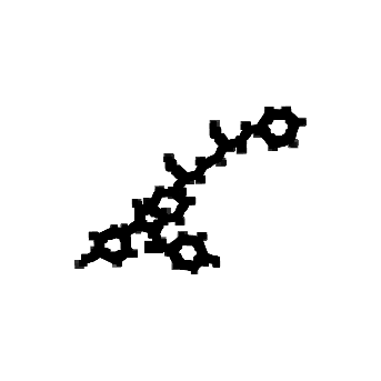 Cc1ccc(Nc2c(-c3ccc(F)cc3)nc3n2CCN(C(=O)CCCC(=O)OCc2ccccc2)C3)cc1